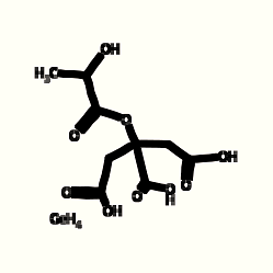 CC(O)C(=O)OC(CC(=O)O)(CC(=O)O)C(=O)O.[GeH4]